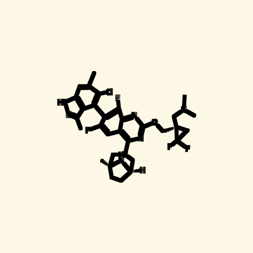 Cc1cc2[nH]nc(C)c2c(-c2c(F)cc3c(N4C[C@H]5CC[C@@](C)(C4)N5)nc(OC[C@]4(CN(C)C)CC4(F)F)nc3c2F)c1Cl